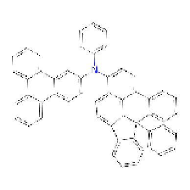 c1ccc(N(c2ccc3c4ccccc4c4ccccc4c3c2)c2ccc3c4c5c(ccc24)-c2ccccc2C5(c2ccccc2)c2ccccc2-3)cc1